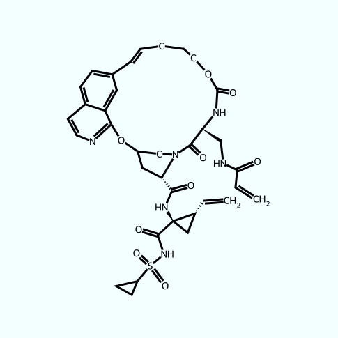 C=CC(=O)NC[C@@H]1NC(=O)OCCC/C=C/c2ccc3ccnc(c3c2)OC2C[C@@H](C(=O)N[C@]3(C(=O)NS(=O)(=O)C4CC4)C[C@H]3C=C)N(C2)C1=O